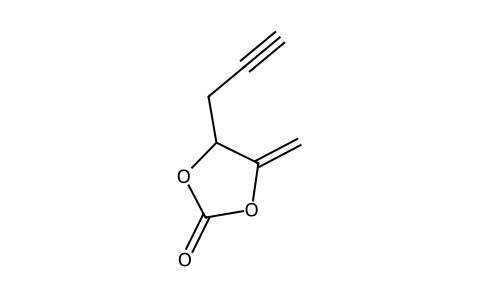 C#CCC1OC(=O)OC1=C